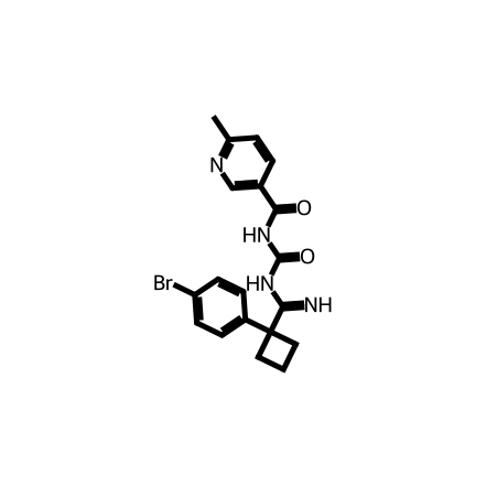 Cc1ccc(C(=O)NC(=O)NC(=N)C2(c3ccc(Br)cc3)CCC2)cn1